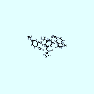 Cc1ccc(C(C)C)cc1OCc1c(CNC2CCC2)cc(-c2c(C(C)C)ccc3[nH]ncc23)nc1C